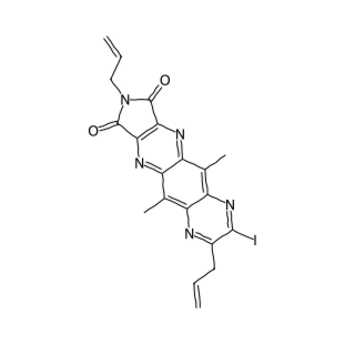 C=CCc1nc2c(C)c3nc4c(nc3c(C)c2nc1I)C(=O)N(CC=C)C4=O